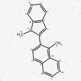 Cc1c(-c2cc3ccncc3n2C)ccc2ccncc12